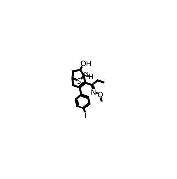 CCC(=NOC)C1=C(c2ccc(I)cc2)CC2CC(O)[C@H]1S2